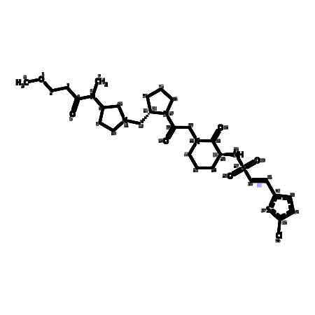 COCCC(=O)N(C)C1CCN(C[C@@H]2CCCN2C(=O)CN2CCC[C@H](NS(=O)(=O)/C=C/c3ccc(Cl)s3)C2=O)C1